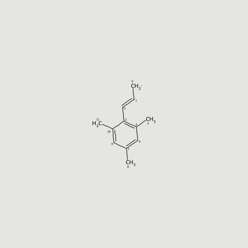 [CH2]C=Cc1c(C)cc(C)cc1C